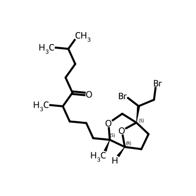 CC(C)CCC(=O)C(C)CCC[C@]1(C)OC[C@]2(C(Br)CBr)CC[C@H]1O2